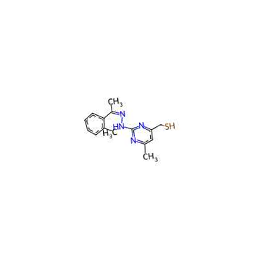 CC(=NNc1nc(C)cc(CS)n1)c1ccccc1C